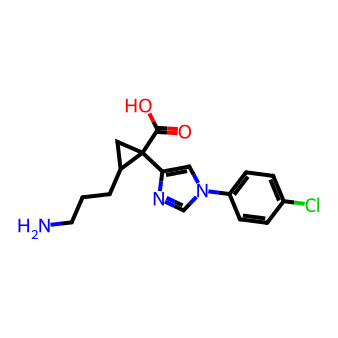 NCCCC1CC1(C(=O)O)c1cn(-c2ccc(Cl)cc2)cn1